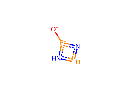 [O-][p+]1n[pH][nH]1